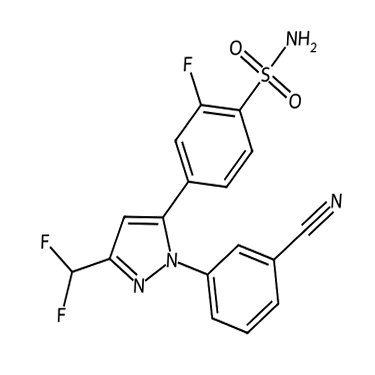 N#Cc1cccc(-n2nc(C(F)F)cc2-c2ccc(S(N)(=O)=O)c(F)c2)c1